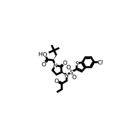 CCC(=O)CN([C@H]1CCN([C@@H](CC(C)(C)C)C(=O)O)C1=O)S(=O)(=O)c1cc2cc(Cl)ccc2s1